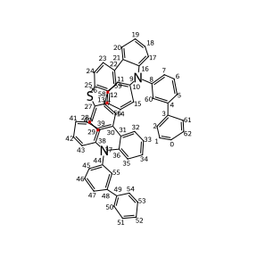 c1ccc(-c2cccc(N(c3ccccc3)c3ccccc3-c3ccc4sc5ccc(-c6ccccc6N(c6ccccc6)c6cccc(-c7ccccc7)c6)cc5c4c3)c2)cc1